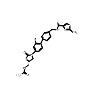 CC(=O)NC[C@H]1CN(c2ccc(-c3ccc(CNC(=O)c4csc(C)n4)cc3)c(F)c2)C(=O)O1